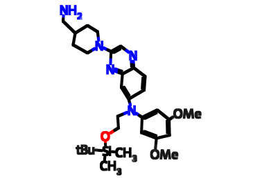 COc1cc(OC)cc(N(CCO[Si](C)(C)C(C)(C)C)c2ccc3ncc(N4CCC(CN)CC4)nc3c2)c1